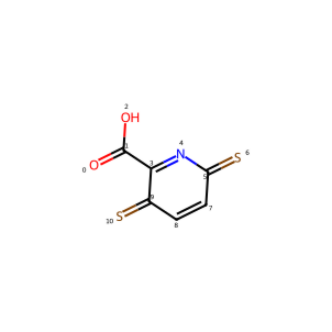 O=C(O)C1=NC(=S)C=CC1=S